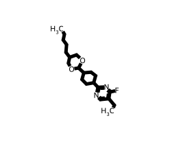 CCCCCC1COC(C2CCC(c3ncc(CC)c(F)n3)CC2)OC1